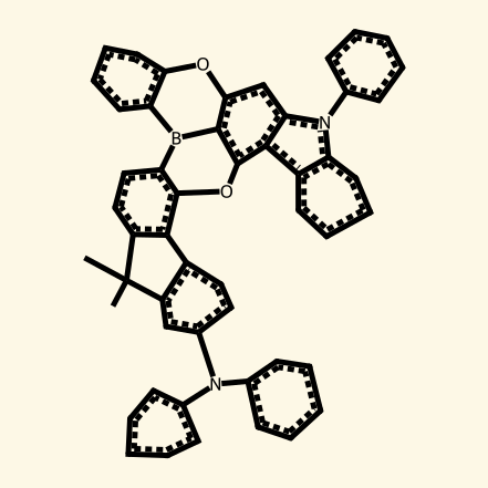 CC1(C)c2cc(N(c3ccccc3)c3ccccc3)ccc2-c2c1ccc1c2Oc2c3c(cc4c2c2ccccc2n4-c2ccccc2)Oc2ccccc2B13